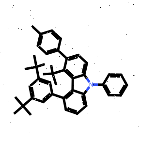 Cc1ccc(-c2ccc3c(c2C(C)(C)C)c2c(-c4cc(C(C)(C)C)cc(C(C)(C)C)c4)cccc2n3-c2ccccc2)cc1